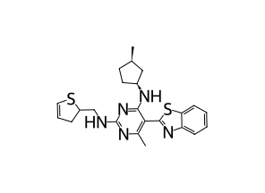 Cc1nc(NCC2CC=CS2)nc(N[C@H]2CC[C@@H](C)C2)c1-c1nc2ccccc2s1